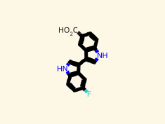 O=C(O)c1ccc2[nH]cc(-c3c[nH]c4ccc(F)cc34)c2c1